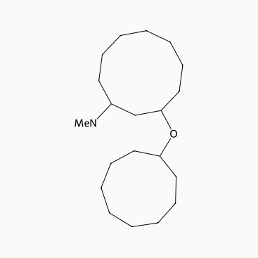 CNC1CCCCCCCC(OC2CCCCCCCC2)C1